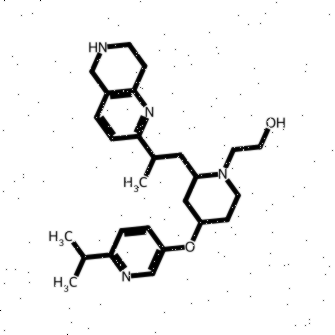 CC(C)c1ccc(OC2CCN(CCO)C(CC(C)c3ccc4c(n3)CCNC4)C2)cn1